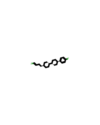 FC=CCC[C@H]1CC[C@H]([C@H]2CC[C@H](c3ccc(F)cc3)CC2)CC1